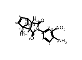 Nc1ccc(N2C(=O)[C@@H]3[C@@H]4C=CC(C4)[C@@H]3C2=O)cc1[N+](=O)[O-]